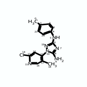 Cc1ccc(Nc2nc(N)n(-c3cc(Cl)ncc3C)n2)cc1